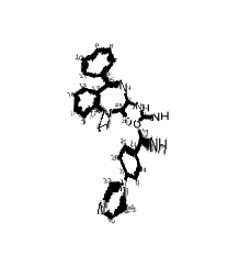 N=C(NC1N=C(c2ccccc2)c2ccccc2NC1=O)OC(=N)C1=CCC(n2ccnc2)C=C1